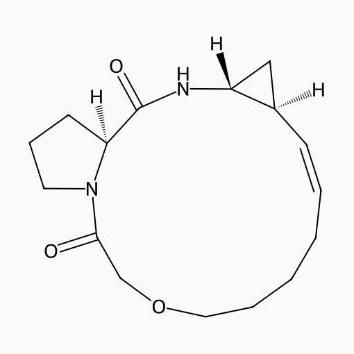 O=C1N[C@@H]2C[C@H]2/C=C\CCCCOCC(=O)N2CCC[C@@H]12